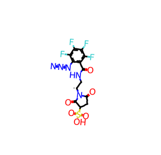 [N-]=[N+]=Nc1c(F)c(F)c(F)c(F)c1C(=O)NC[CH]N1C(=O)CC(S(=O)(=O)O)C1=O